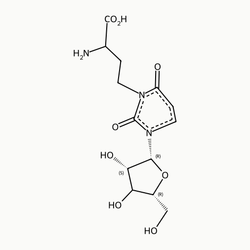 NC(CCn1c(=O)ccn([C@@H]2O[C@H](CO)C(O)[C@@H]2O)c1=O)C(=O)O